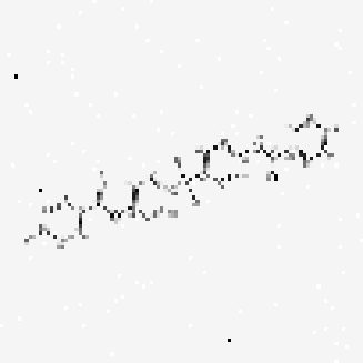 Cc1ccc(C(=O)Oc2ccc(C(C)(C)c3ccc(OC(=O)c4ccccc4)cc3)cc2)cc1